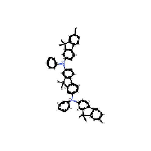 Cc1ccc2c(c1)C(C)(C)c1cc(N(c3ccccc3)c3ccc4c(c3)C(C)(C)c3cc(N(c5ccccc5)c5ccc6c(c5)C(C)(C)c5cc(C)ccc5-6)ccc3-4)ccc1-2